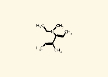 C/C=C(/C(C)=C/C)N(C)CC